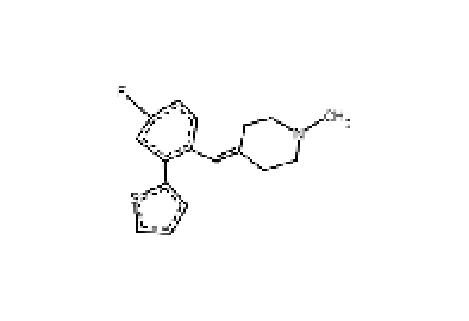 CN1CCC(=Cc2ccc(F)cc2-c2cccs2)CC1